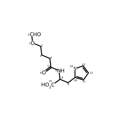 O=COCCCC(=O)NC(Cc1cccs1)C(=O)O